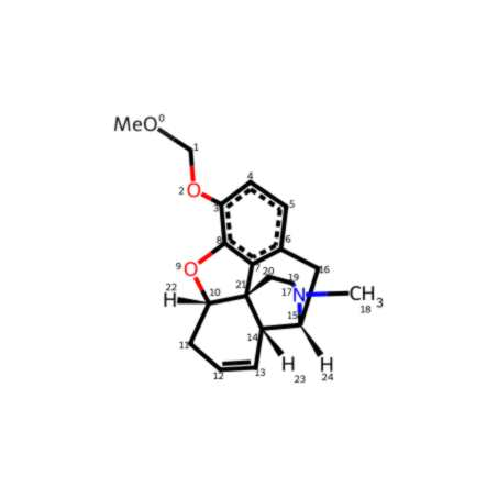 COCOc1ccc2c3c1O[C@H]1CC=C[C@H]4[C@@H](C2)N(C)CC[C@]314